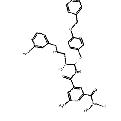 CCCN(CCC)C(=O)c1cc(C)cc(C(=O)N[C@@H](Cc2ccc(OCc3ccccc3)cc2)[C@H](O)CNCc2cccc(OC)c2)c1